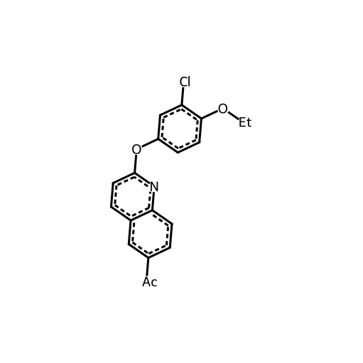 CCOc1ccc(Oc2ccc3cc(C(C)=O)ccc3n2)cc1Cl